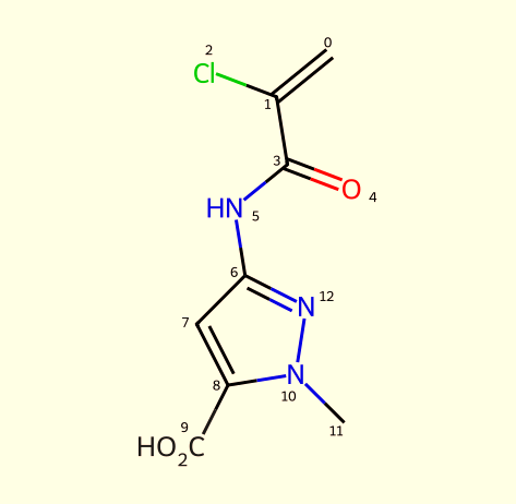 C=C(Cl)C(=O)Nc1cc(C(=O)O)n(C)n1